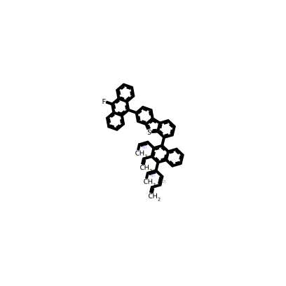 C=C/C=C\C(=C/C)c1c(C=C)c(/C=C\C)c(-c2cccc3c2sc2cc(-c4c5ccccc5c(F)c5ccccc45)ccc23)c2ccccc12